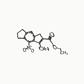 CCOC(=O)C1=C(O)c2c(cc3c(c2[N+](=O)[O-])CCC3)C1